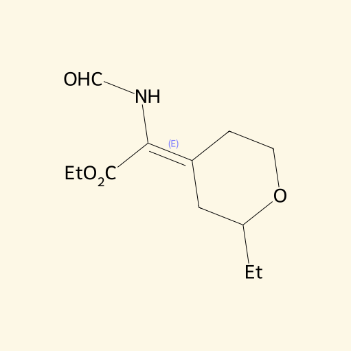 CCOC(=O)/C(NC=O)=C1/CCOC(CC)C1